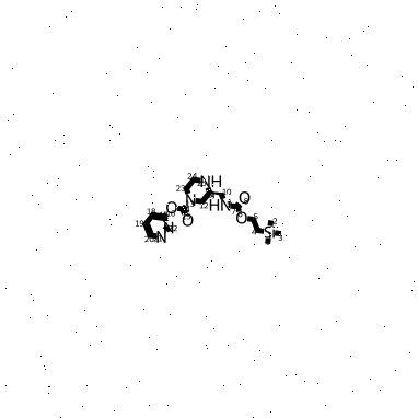 C[Si](C)(C)CCOC(=O)NC[C@H]1CN(C(=O)Oc2cccnn2)CCN1